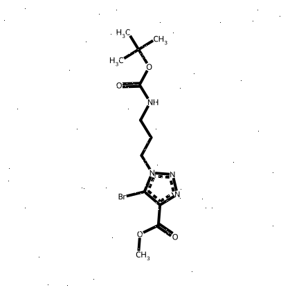 COC(=O)c1nnn(CCCNC(=O)OC(C)(C)C)c1Br